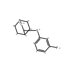 Fc1cccc(SC2CN3CCC2CC3)c1